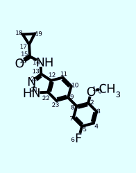 COc1ccc(F)cc1-c1ccc2c(NC(=O)C3CC3)n[nH]c2c1